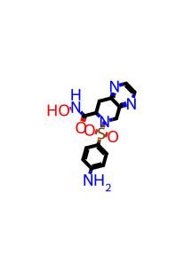 Nc1ccc(S(=O)(=O)N2Cc3nccnc3CC2C(=O)NO)cc1